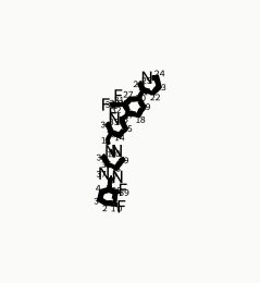 Fc1cccc(-c2nc3cnn(Cc4ccc(-c5ccc(-c6cccnc6)cc5C(F)(F)F)nc4)cc-3n2)c1F